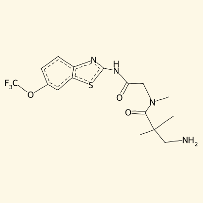 CN(CC(=O)Nc1nc2ccc(OC(F)(F)F)cc2s1)C(=O)C(C)(C)CN